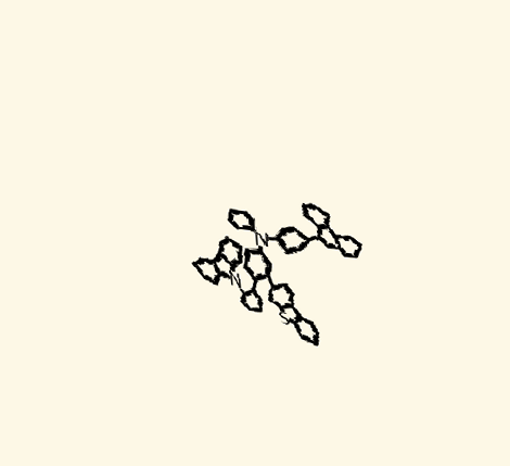 c1ccc(N(c2ccc(-c3cc4ccccc4c4ccccc34)cc2)c2ccc(-c3ccccc3-n3c4ccccc4c4ccccc43)c(-c3ccc4c(c3)sc3ccccc34)c2)cc1